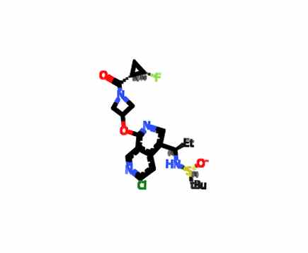 CC[C@@H](N[S@@+]([O-])C(C)(C)C)c1cnc(OC2CN(C(=O)[C@@H]3C[C@@H]3F)C2)c2cnc(Cl)cc12